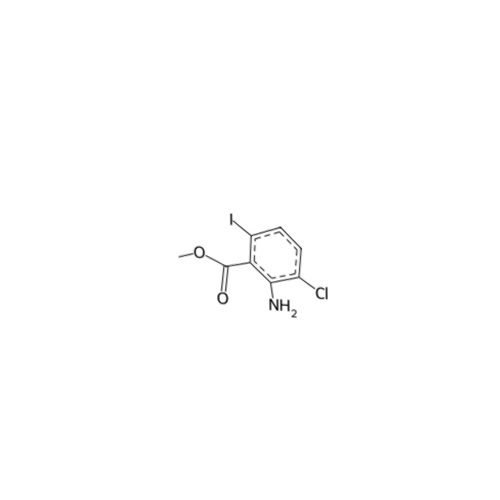 COC(=O)c1c(I)ccc(Cl)c1N